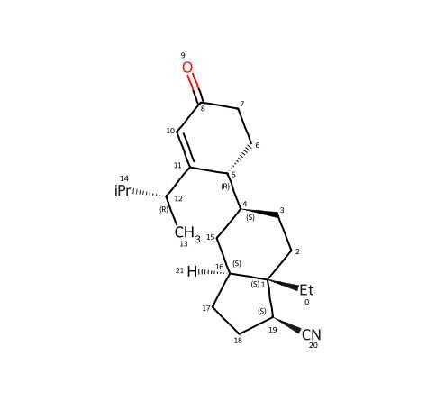 CC[C@]12CC[C@H]([C@H]3CCC(=O)C=C3[C@H](C)C(C)C)C[C@@H]1CC[C@@H]2C#N